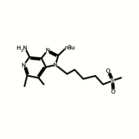 CCCCc1nc2c(N)nc(C)c(C)c2n1CCCCCS(C)(=O)=O